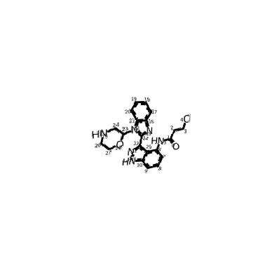 O=C(CCCl)Nc1cccc2[nH]nc(-c3nc4ccccc4n3C3CNCCO3)c12